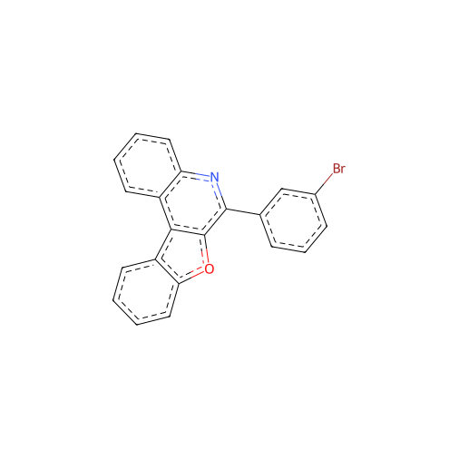 Brc1cccc(-c2nc3ccccc3c3c2oc2ccccc23)c1